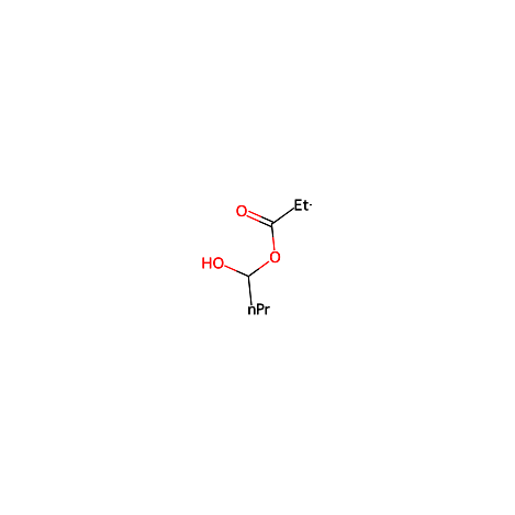 C[CH]C(=O)OC(O)CCC